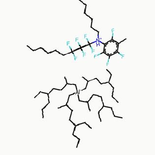 CCCC(CC)CCC(C)[CH2][Al-]([CH2]C(C)CCC(CC)CCC)([CH2]C(C)CCC(CC)CCC)[CH2]C(C)CCC(CC)CCC.CCCCCC[NH+](c1c(F)c(C)c(F)c(F)c1F)C(F)(F)C(F)(F)C(F)(F)CCCCCC